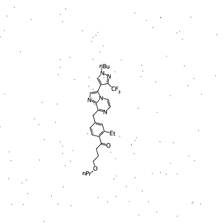 CCCCn1cc(-c2cnc3c(Cc4ccc(C(=O)CCCOCCC)c(CC)c4)nccn23)c(C(F)(F)F)n1